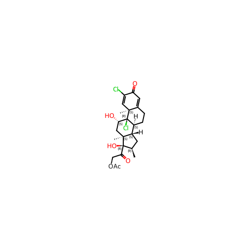 CC(=O)OCC(=O)[C@@]1(O)[C@H](C)C[C@H]2[C@@H]3CCC4=CC(=O)C(Cl)=C[C@]4(C)[C@@]3(Cl)[C@@H](O)C[C@@]21C